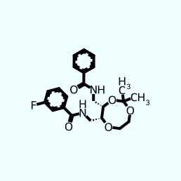 CC1(C)OCCO[C@H](CNC(=O)c2cccc(F)c2)[C@H](CNC(=O)c2ccccc2)O1